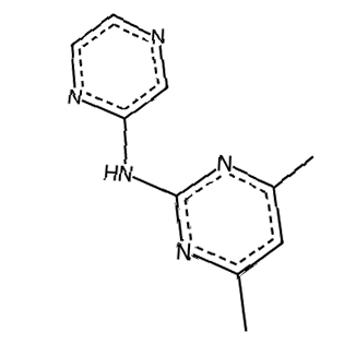 Cc1cc(C)nc(Nc2cnccn2)n1